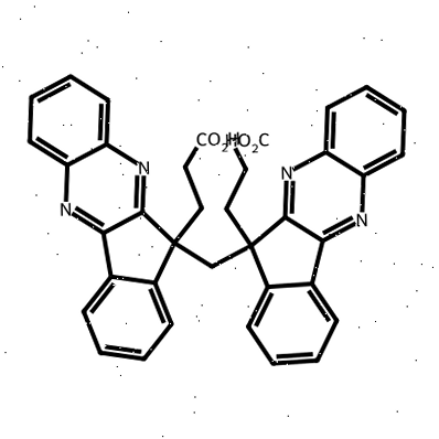 O=C(O)CCC1(CC2(CCC(=O)O)c3ccccc3-c3nc4ccccc4nc32)c2ccccc2-c2nc3ccccc3nc21